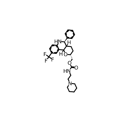 O=C(NCCN1CCCCC1)OC[C@H]1CC[C@@H]2[C@H](O1)c1cc(C(F)(F)F)ccc1N[C@H]2c1ccccc1